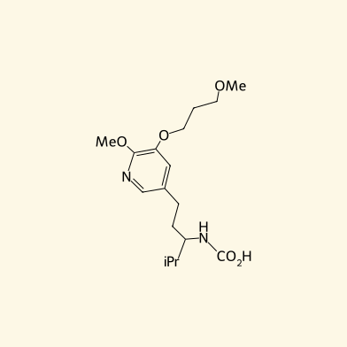 COCCCOc1cc(CCC(NC(=O)O)C(C)C)cnc1OC